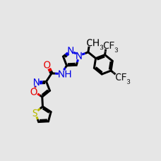 CC(c1ccc(C(F)(F)F)cc1C(F)(F)F)n1cc(NC(=O)c2cc(-c3cccs3)on2)cn1